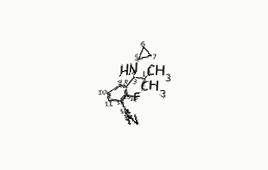 CC(C)C(NC1CC1)c1cccc(C#N)c1F